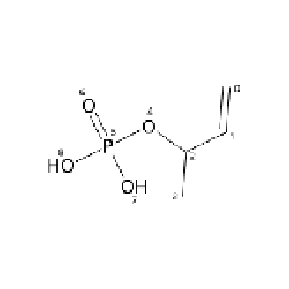 C=CC(C)OP(=O)(O)O